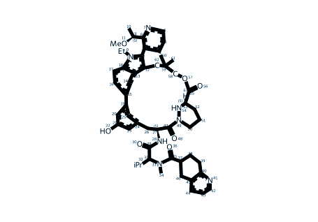 CCn1c(-c2cccnc2[C@H](C)OC)c2c3cc(ccc31)-c1cc(O)cc(c1)C[C@H](NC(=O)C(C(C)C)N(C)C(=O)C1CCc3ncccc3C1)C(=O)N1CCC[C@H](N1)C(=O)OCC(C)(C)C2